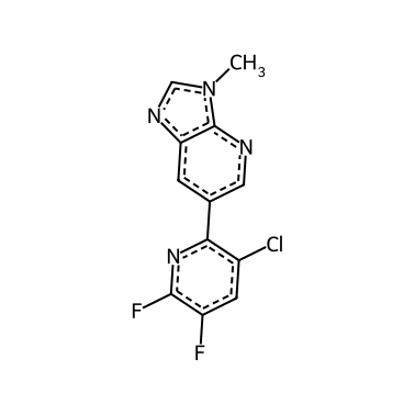 Cn1cnc2cc(-c3nc(F)c(F)cc3Cl)cnc21